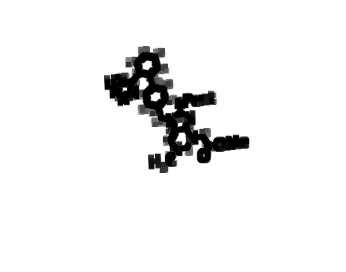 CCCCCC1N=C2C(=CN(C)CN2CC(=O)OC)N1Cc1ccc(-c2ccccc2-c2nnn[nH]2)cc1